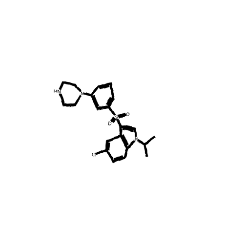 CC(C)n1cc(S(=O)(=O)c2cccc(N3CCNCC3)c2)c2cc(Cl)ccc21